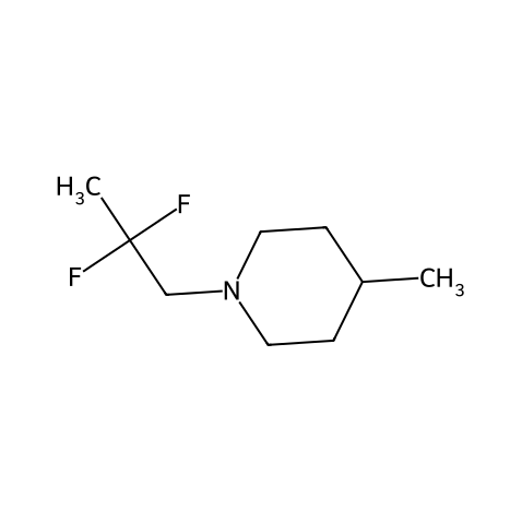 CC1CCN(CC(C)(F)F)CC1